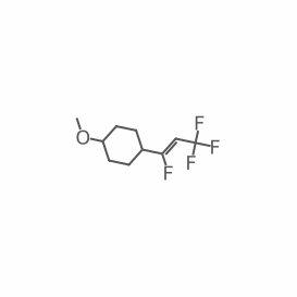 COC1CCC(/C(F)=C/C(F)(F)F)CC1